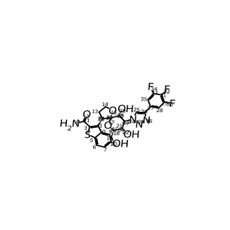 NC(=O)c1sc2ccccc2c1[C@H]1CCO[C@]12O[C@H](CO)[C@H](O)[C@H](n1cc(-c3cc(F)c(F)c(F)c3)nn1)[C@H]2O